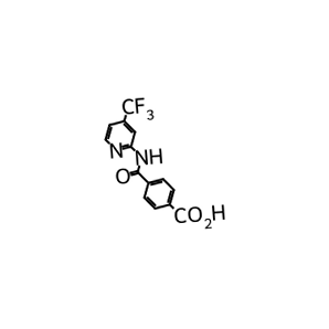 O=C(O)c1ccc(C(=O)Nc2cc(C(F)(F)F)ccn2)cc1